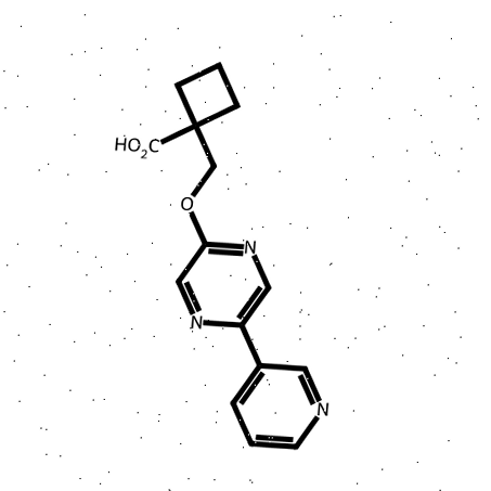 O=C(O)C1(COc2cnc(-c3cccnc3)cn2)CCC1